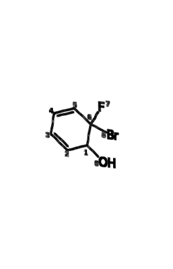 OC1C=CC=CC1(F)Br